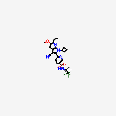 CCc1nc2c(cc1OC)c(C#N)c(-c1ccc(S(=O)(=O)N[C@@H](C)C(F)(F)F)cn1)n2C1CCC1